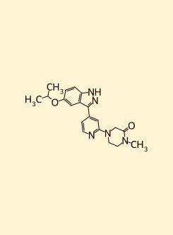 CC(C)Oc1ccc2[nH]nc(-c3ccnc(N4CCN(C)C(=O)C4)c3)c2c1